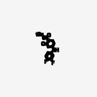 CC(C)(C)OC(=O)N1CCC(Nc2ccc(F)c(F)c2)CC1=O